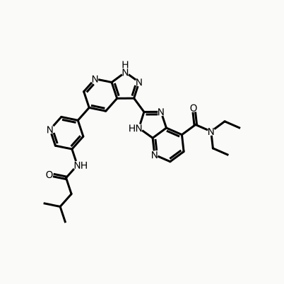 CCN(CC)C(=O)c1ccnc2[nH]c(-c3n[nH]c4ncc(-c5cncc(NC(=O)CC(C)C)c5)cc34)nc12